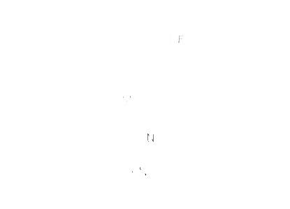 N#Cc1cccc2c(Oc3ccc(C(F)(F)F)cc3)ccnc12